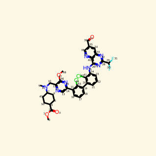 COC(=O)C1CCC(N(C)Cc2ncc(-c3cccc(-c4cccc(Nc5nc(C(F)F)nc6cc(C=O)cnc56)c4Cl)c3Cl)nc2OC)CC1